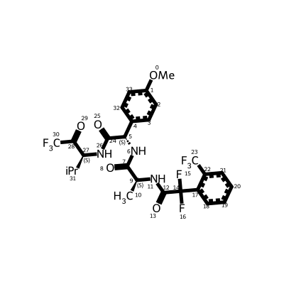 COc1ccc([C@H](NC(=O)[C@H](C)NC(=O)C(F)(F)c2ccccc2C(F)(F)F)C(=O)N[C@H](C(=O)C(F)(F)F)C(C)C)cc1